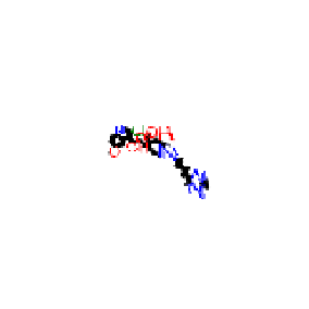 COc1ccc2ncc(Cl)c(C(O)CCC3(C(=O)O)CCN(CCCCc4cnccn4)CC3)c2c1